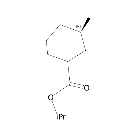 CC(C)OC(=O)C1CCC[C@@H](C)C1